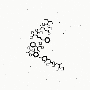 CC(C)CCC(=O)Cl.CC(CCl)C(=O)Cl.CC(Oc1ccccc1)C(=O)Cl.CCC(C(=O)Cl)c1ccccc1.CCC(CC)C(=O)Cl.Cc1ccc(CC(=O)Cl)cc1.O=C(Cl)C(=CC=Cc1ccccc1)C(=O)Cl